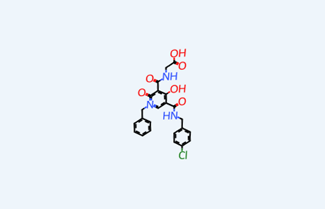 O=C(O)CNC(=O)c1c(O)c(C(=O)NCc2ccc(Cl)cc2)cn(Cc2ccccc2)c1=O